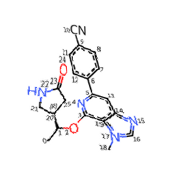 CC(Oc1nc(-c2ccc(C#N)cc2)cc2ncn(C)c12)[C@H]1CNC(=O)C1